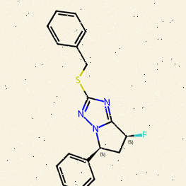 F[C@H]1C[C@@H](c2ccccc2)n2nc(SCc3ccccc3)nc21